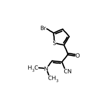 CN(C)C=C(C#N)C(=O)c1ccc(Br)s1